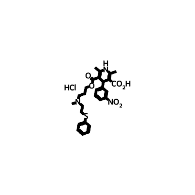 CC1=C(C(=O)O)C(c2cccc([N+](=O)[O-])c2)C(C(=O)OCCCN(C)CCSc2ccccc2)=C(C)N1.Cl